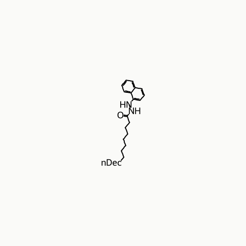 CCCCCCCCCCCCCCCCCC(=O)NNc1cccc2ccccc12